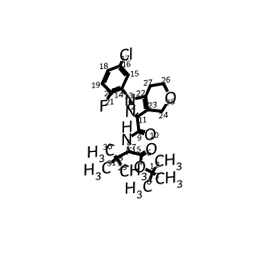 CC(C)(C)OC(=O)[C@@H](NC(=O)c1nn(-c2cc(Cl)ccc2F)c2c1COCC2)C(C)(C)C